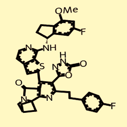 COc1cc(F)cc2c1CC[C@H]2Nc1nccc2cc(-c3c4c(nc(CCc5ccc(F)cc5)c3-c3n[nH]c(=O)o3)C35CC(CN3C4=O)C5)sc12